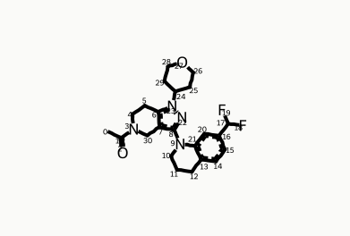 CC(=O)N1CCc2c(c(N3CCCc4ccc(C(F)F)cc43)nn2C2CCOCC2)C1